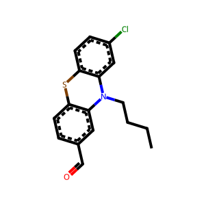 CCCCN1c2cc(Cl)ccc2Sc2ccc(C=O)cc21